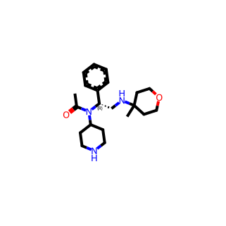 CC(=O)N(C1CCNCC1)[C@@H](CNC1(C)CCOCC1)c1ccccc1